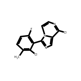 Cc1ccc(F)c(-c2ncc3c(Cl)nccn23)c1Cl